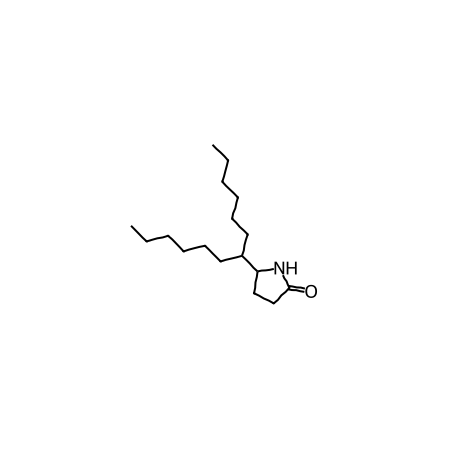 CCCCCCC(CCCCCC)C1CCC(=O)N1